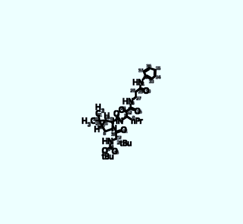 CCCC(NC(=O)[C@@H]1[C@@H]2[C@H](CN1C(=O)[C@@H](NC(=O)OC(C)(C)C)C(C)(C)C)C2(C)C)C(=O)C(=O)NCCC(=O)Nc1ccccc1